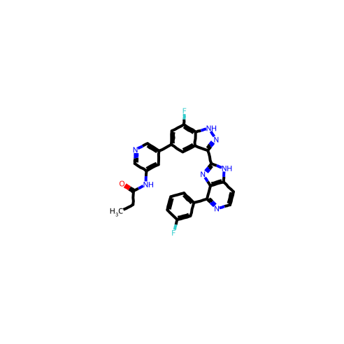 CCC(=O)Nc1cncc(-c2cc(F)c3[nH]nc(-c4nc5c(-c6cccc(F)c6)nccc5[nH]4)c3c2)c1